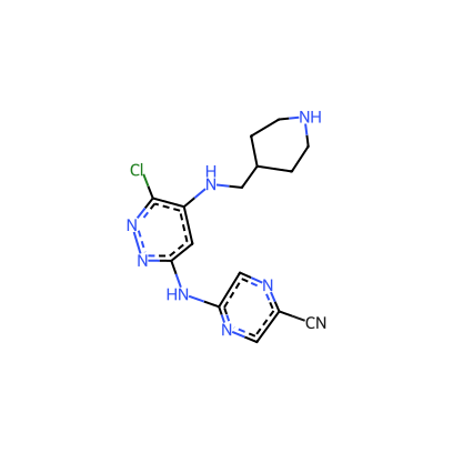 N#Cc1cnc(Nc2cc(NCC3CCNCC3)c(Cl)nn2)cn1